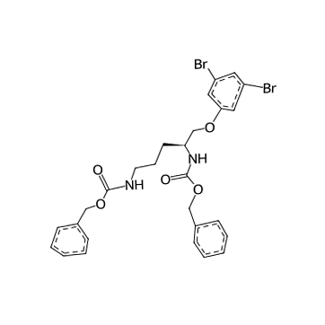 O=C(NCCC[C@@H](COc1cc(Br)cc(Br)c1)NC(=O)OCc1ccccc1)OCc1ccccc1